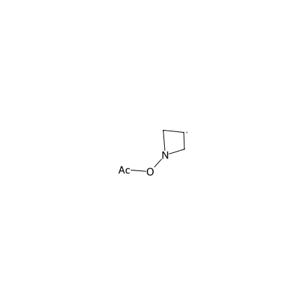 CC(=O)ON1C[CH]C1